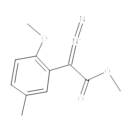 COC(=O)C(=[N+]=[N-])c1cc(C)ccc1OC